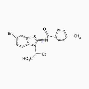 CCC(C(=O)O)n1/c(=N/C(=O)c2ccc(C)cc2)sc2cc(Br)ccc21